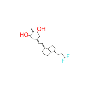 C=C1[C@H](O)CC(=C/C=C2\CCC[C@]3(C)C(CCC(F)F)CCC23)C[C@H]1O